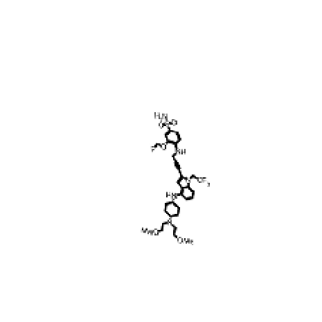 COCCN(CCOC)[C@H]1CC[C@@H](Nc2cccc3c2cc(C#CCNc2ccc(S(N)(=O)=O)cc2OCF)n3CC(F)(F)F)CC1